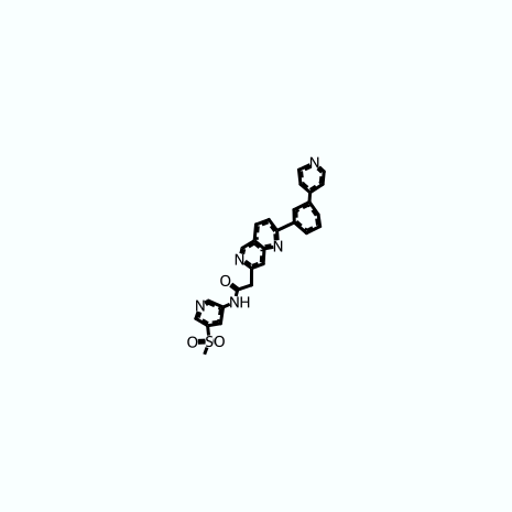 CS(=O)(=O)c1cncc(NC(=O)Cc2cc3nc(-c4cccc(-c5ccncc5)c4)ccc3cn2)c1